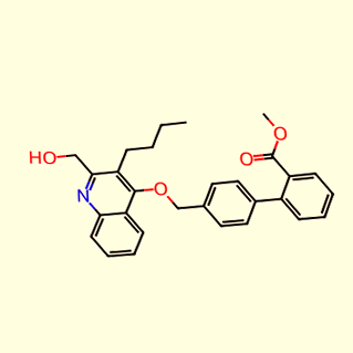 CCCCc1c(CO)nc2ccccc2c1OCc1ccc(-c2ccccc2C(=O)OC)cc1